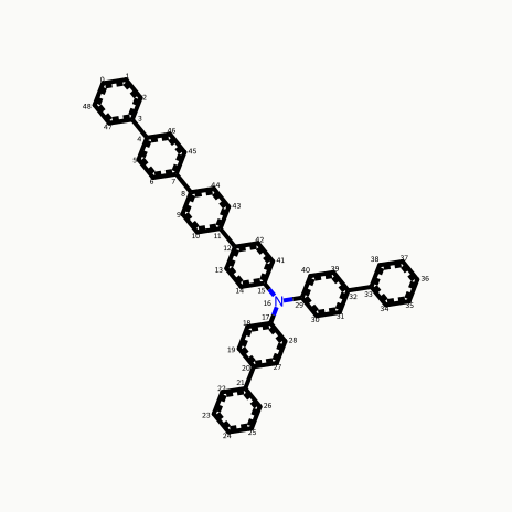 c1ccc(-c2ccc(-c3ccc(-c4ccc(N(c5ccc(-c6ccccc6)cc5)c5ccc(-c6ccccc6)cc5)cc4)cc3)cc2)cc1